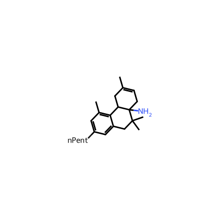 CCCCCc1cc(C)c2c(c1)CC(C)(C)C1(N)CC=C(C)CC21